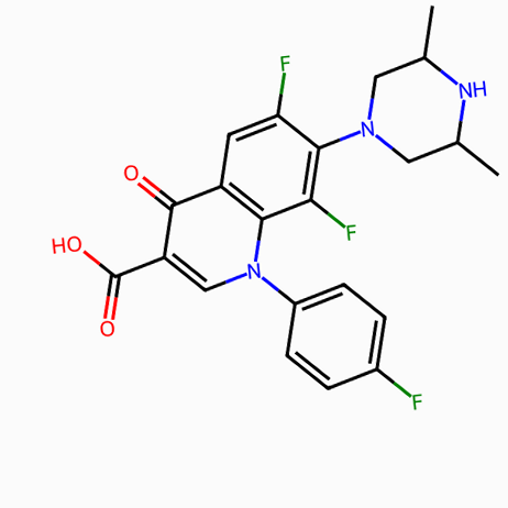 CC1CN(c2c(F)cc3c(=O)c(C(=O)O)cn(-c4ccc(F)cc4)c3c2F)CC(C)N1